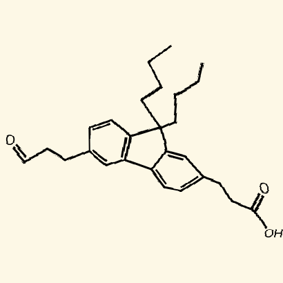 CCCCC1(CCCC)c2ccc(CCC=O)cc2-c2ccc(CCC(=O)O)cc21